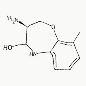 Cc1cccc2c1OC[C@H](N)C(O)N2